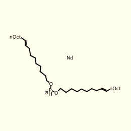 CCCCCCCCC=CCCCCCCCCO[PH](=O)OCCCCCCCCC=CCCCCCCCC.[Nd]